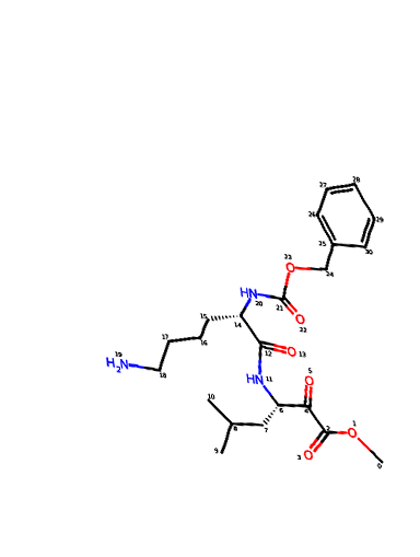 COC(=O)C(=O)[C@H](CC(C)C)NC(=O)[C@H](CCCCN)NC(=O)OCc1ccccc1